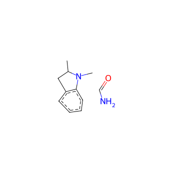 CC1Cc2ccccc2N1C.NC=O